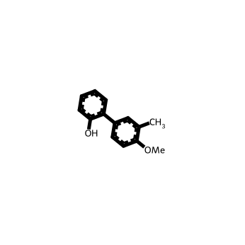 COc1ccc(-c2ccccc2O)cc1C